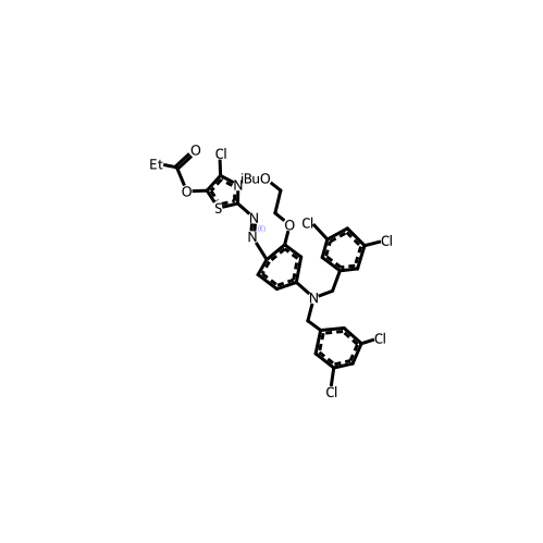 CCC(=O)Oc1sc(/N=N/c2ccc(N(Cc3cc(Cl)cc(Cl)c3)Cc3cc(Cl)cc(Cl)c3)cc2OCCOCC(C)C)nc1Cl